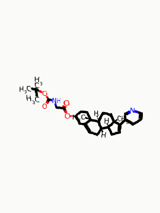 CC(C)(C)OC(=O)NCC(=O)O[C@H]1CC[C@@]2(C)C(=CC[C@@H]3[C@@H]2CC[C@]2(C)C(c4cccnc4)=CC[C@@H]32)C1